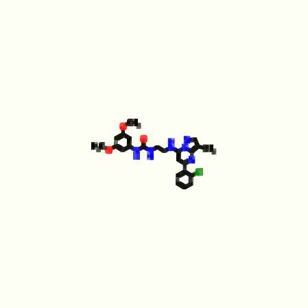 Bc1cnn2c(NCCNC(=O)Nc3cc(OC)cc(OC)c3)cc(-c3ccccc3Cl)nc12